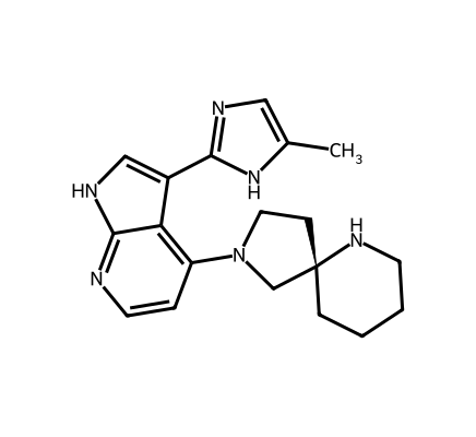 Cc1cnc(-c2c[nH]c3nccc(N4CC[C@@]5(CCCCN5)C4)c23)[nH]1